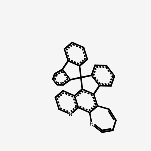 C1=CC=Cc2c3c(c4cccnc4c2N=1)C1(c2ccccc2-c2ccccc21)c1ccccc1-3